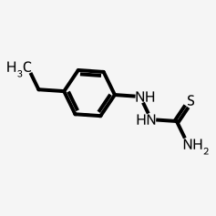 CCc1ccc(NNC(N)=S)cc1